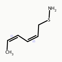 C/C=C\C=C/CSN